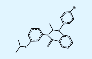 CC(C)Oc1cccc(N2C(=O)c3ccccc3N(c3ccc(Br)cc3)C2C)c1